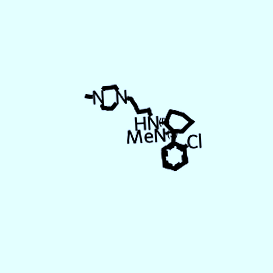 CN[C@]1(c2ccccc2Cl)CCCC[C@H]1NCCCN1CCN(C)CC1